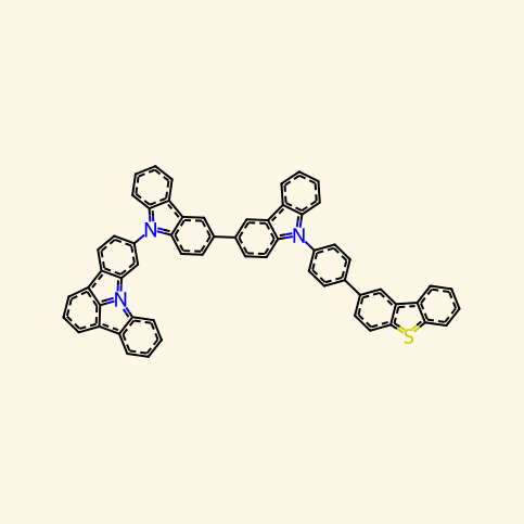 c1ccc2c(c1)sc1ccc(-c3ccc(-n4c5ccccc5c5cc(-c6ccc7c(c6)c6ccccc6n7-c6ccc7c8cccc9c%10ccccc%10n(c7c6)c98)ccc54)cc3)cc12